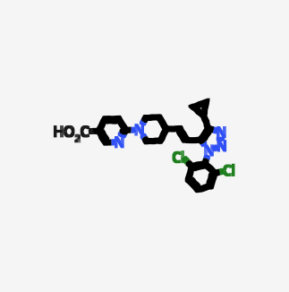 O=C(O)c1ccc(N2CCC(C=Cc3c(C4CC4)nnn3-c3c(Cl)cccc3Cl)CC2)nc1